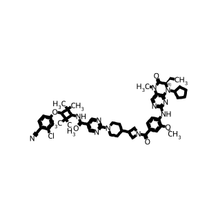 CC[C@@H]1C(=O)N(C)c2cnc(Nc3ccc(C(=O)N4CC(C5CCN(c6ncc(C(=O)NC7C(C)(C)C(Oc8ccc(C#N)c(Cl)c8)C7(C)C)cn6)CC5)C4)cc3OC)nc2N1C1CCCC1